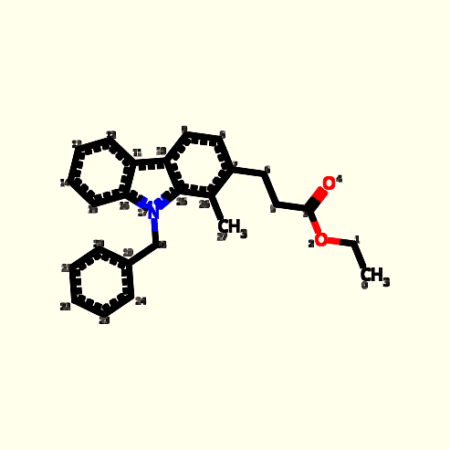 CCOC(=O)CCc1ccc2c3ccccc3n(Cc3ccccc3)c2c1C